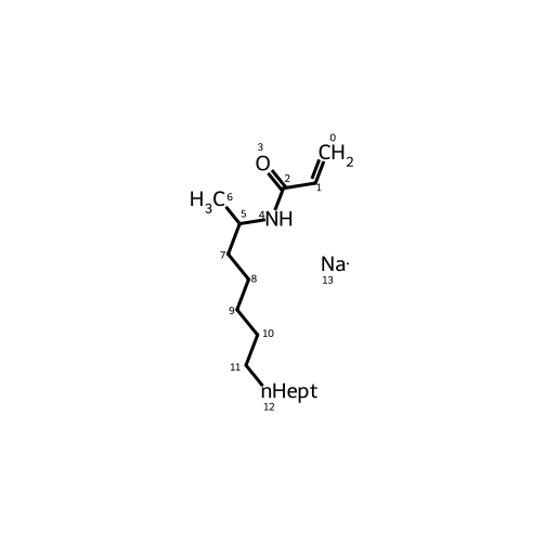 C=CC(=O)NC(C)CCCCCCCCCCCC.[Na]